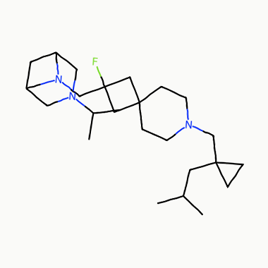 CC(C)CC1(CN2CCC3(CC2)CC(F)(CN2C4CC2CN(C(C)C)C4)C3)CC1